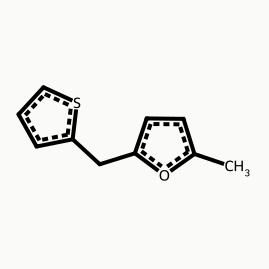 Cc1ccc(Cc2cccs2)o1